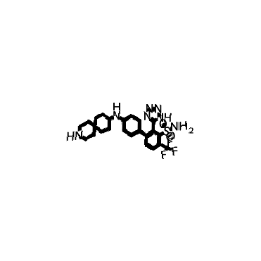 NS(=O)(=O)c1c(C(F)(F)F)ccc(C2CCC(NC3CCC4(CCNCC4)CC3)CC2)c1-c1nnn[nH]1